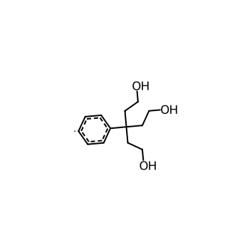 OCCC(CCO)(CCO)c1cc[c]cc1